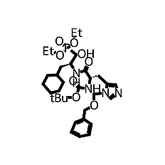 CCOP(=O)(OCC)C(O)[C@H](CC1CCCCC1)NC(=O)[C@H](Cc1cncn1COCc1ccccc1)NC(=O)OC(C)(C)C